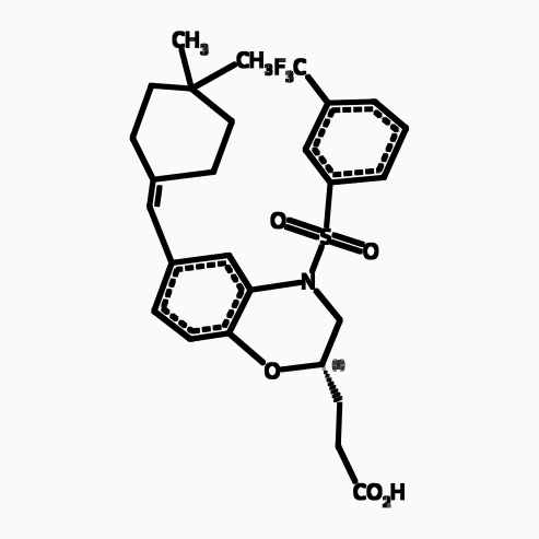 CC1(C)CCC(=Cc2ccc3c(c2)N(S(=O)(=O)c2cccc(C(F)(F)F)c2)C[C@H](CCC(=O)O)O3)CC1